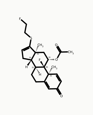 CC(=O)O[C@H]1C[C@]2(C)C(SCCF)=CC[C@H]2[C@@H]2CCC3=CC(=O)C=C[C@]3(C)[C@@]12F